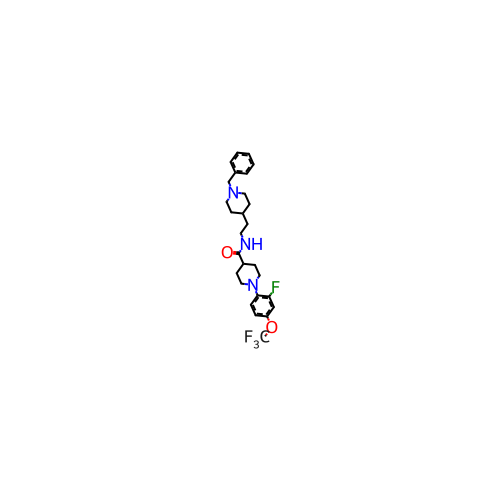 O=C(NCCC1CCN(Cc2ccccc2)CC1)C1CCN(c2ccc(OC(F)(F)F)cc2F)CC1